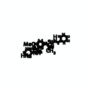 COc1ccc(-c2sc(NCC3CCCCC3)nc2C)cc1S(=O)(=O)NC1CCCNC1